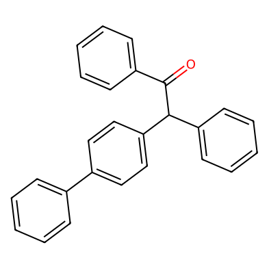 O=C(c1ccccc1)C(c1ccccc1)c1ccc(-c2ccccc2)cc1